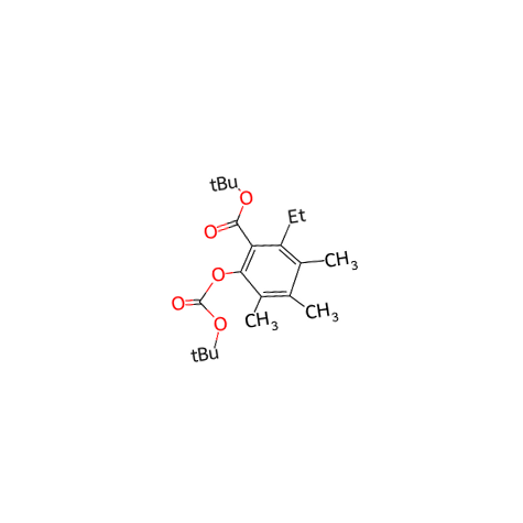 CCc1c(C)c(C)c(C)c(OC(=O)OC(C)(C)C)c1C(=O)OC(C)(C)C